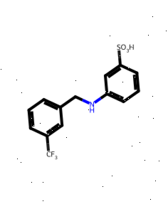 O=S(=O)(O)c1cccc(NCc2cccc(C(F)(F)F)c2)c1